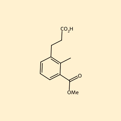 COC(=O)c1cccc(CCC(=O)O)c1C